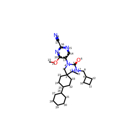 CCC1(CN(C(=O)NCC2CCC2)c2cnc(C#N)nc2OC)CCC(C2CCCCC2)CC1